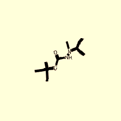 CC(C)N(C)NC(=O)OC(C)(C)C